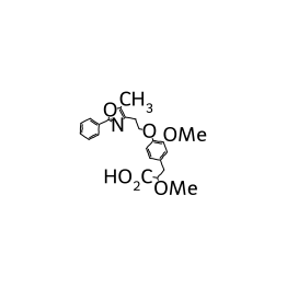 COc1cc(CC(OC)C(=O)O)ccc1OCCc1nc(-c2ccccc2)oc1C